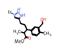 CCN1C=C(CCC(c2ccc(C)c(CO)c2)C(C)C(=O)OC)NN1